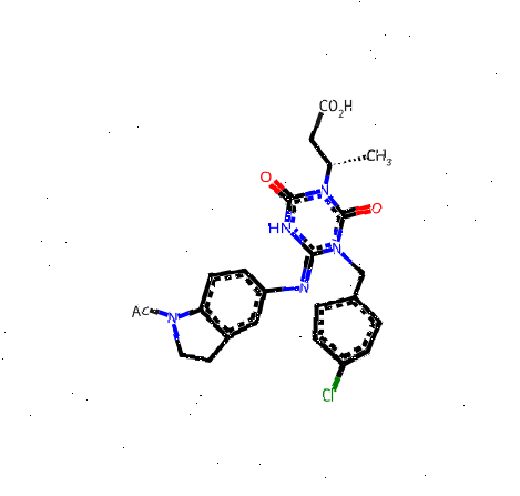 CC(=O)N1CCc2cc(/N=c3\[nH]c(=O)n([C@@H](C)CC(=O)O)c(=O)n3Cc3ccc(Cl)cc3)ccc21